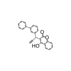 C#CC(c1cccc(-c2ccccc2)c1)c1c(O)c2ccccc2oc1=O